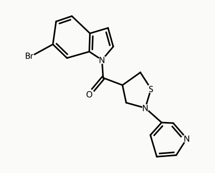 O=C(C1CSN(c2cccnc2)C1)n1ccc2ccc(Br)cc21